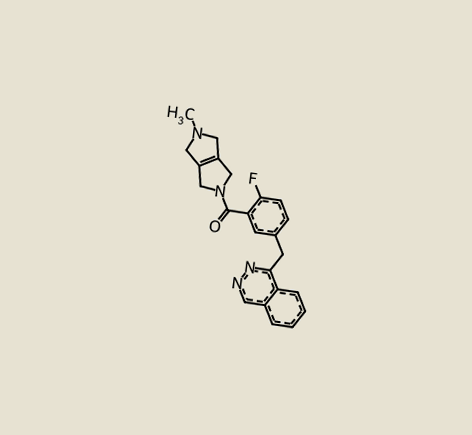 CN1CC2=C(C1)CN(C(=O)c1cc(Cc3nncc4ccccc34)ccc1F)C2